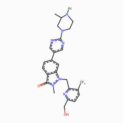 CC(=O)N1CCN(c2ncc(-c3ccc4c(=O)n(C)n(Cc5nc(CO)ccc5C(F)(F)F)c4c3)cn2)CC1C